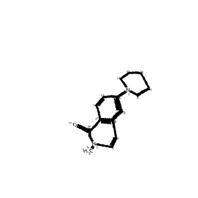 Cn1ccc2cc(N3CCCCC3)ccc2c1=O